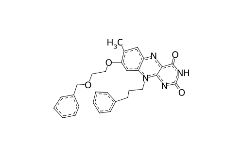 Cc1cc2nc3c(=O)[nH]c(=O)nc-3n(CCCc3ccccc3)c2cc1OCCOCc1ccccc1